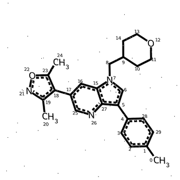 Cc1ccc(-c2cn(CC3CCOCC3)c3cc(-c4c(C)noc4C)cnc23)cc1